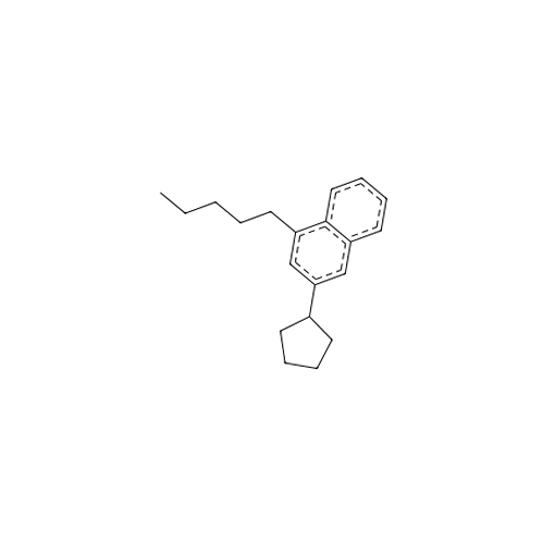 CCCCCc1cc(C2CCCC2)cc2ccccc12